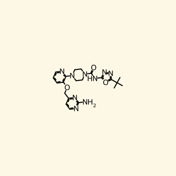 CC(C)(C)c1nnc(NC(=O)N2CCN(c3ncccc3OCc3ccnc(N)n3)CC2)o1